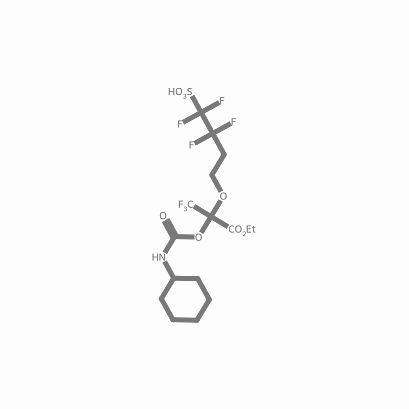 CCOC(=O)C(OCCC(F)(F)C(F)(F)S(=O)(=O)O)(OC(=O)NC1CCCCC1)C(F)(F)F